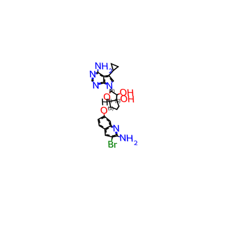 Nc1nc2cc(O[C@H]3CC[C@]4(O)C(O)[C@H](n5cc(C6CC6)c6c(N)ncnc65)O[C@H]34)ccc2cc1Br